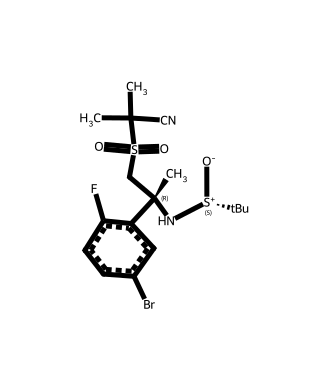 CC(C)(C)[S@@+]([O-])N[C@@](C)(CS(=O)(=O)C(C)(C)C#N)c1cc(Br)ccc1F